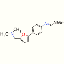 CNC=Nc1ccc(-c2ccc(CN(C)C)o2)cc1